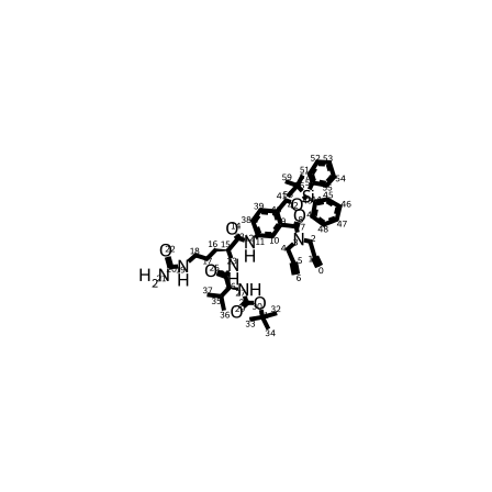 C#CCN(CC#C)C(=O)c1cc(NC(=O)[C@H](CCCNC(N)=O)NC(=O)[C@@H](NC(=O)OC(C)(C)C)C(C)C)ccc1CO[Si](c1ccccc1)(c1ccccc1)C(C)(C)C